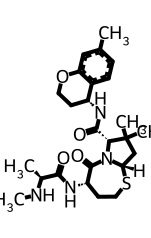 CN[C@@H](C)C(=O)N[C@H]1CCS[C@H]2CC(C)(C)[C@@H](C(=O)N[C@@H]3CCOc4cc(C)ccc43)N2C1=O